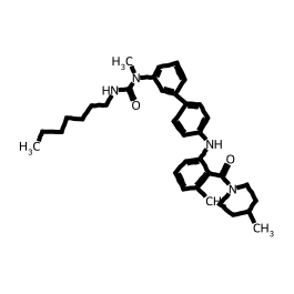 CCCCCCCNC(=O)N(C)c1cccc(-c2ccc(Nc3cccc(C)c3C(=O)N3CCC(C)CC3)cc2)c1